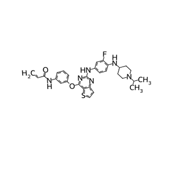 C=CC(=O)Nc1cccc(Oc2nc(Nc3ccc(NC4CCN(C(C)C)CC4)c(F)c3)nc3ccsc23)c1